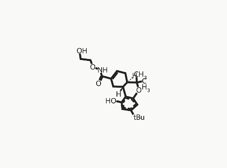 CC(C)(C)c1cc(O)c2c(c1)OC(C)(C)[C@@H]1CC=C(C(=O)NOCCO)C[C@@H]21